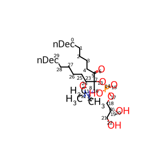 CCCCCCCCCCCCCCC(=O)C(C[N+](C)(C)C)(OP(=O)(O)OC[C@H](O)CO)C(=O)CCCCCCCCCCCCCC